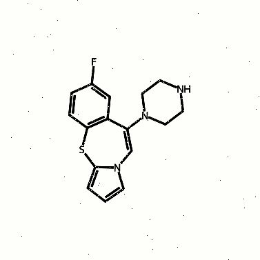 Fc1ccc2c(c1)C(N1CCNCC1)=Cn1cccc1S2